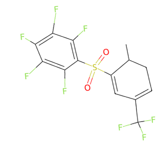 CC1CC=C(C(F)(F)F)C=C1S(=O)(=O)c1c(F)c(F)c(F)c(F)c1F